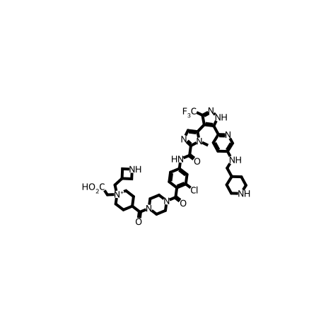 Cn1c(-c2c(C(F)(F)F)n[nH]c2-c2ccc(NCC3CCNCC3)cn2)cnc1C(=O)Nc1ccc(C(=O)N2CCN(C(=O)C3CC[N+](CC(=O)O)(CC4CNC4)CC3)CC2)c(Cl)c1